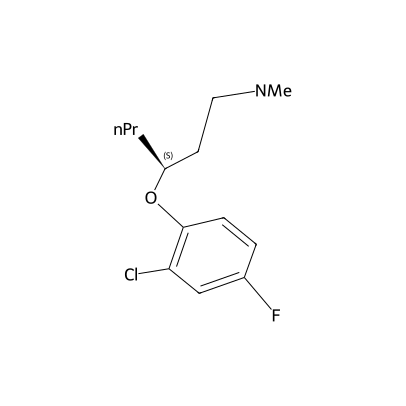 CCC[C@@H](CCNC)Oc1ccc(F)cc1Cl